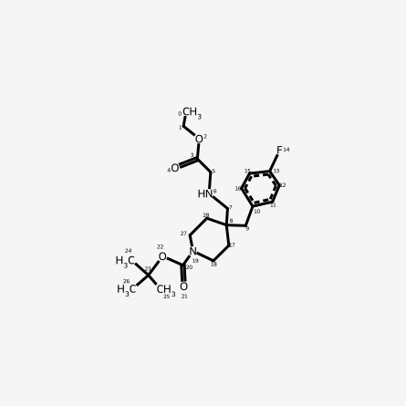 CCOC(=O)CNCC1(Cc2ccc(F)cc2)CCN(C(=O)OC(C)(C)C)CC1